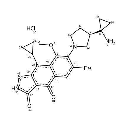 COc1c(N2CC[C@@H](C3(N)CC3)C2)c(F)cc2c(=O)c3c(=O)[nH]sc3n(C3CC3)c12.Cl